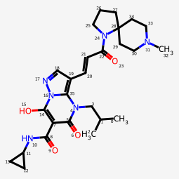 CC(C)Cn1c(=O)c(C(=O)NC2CC2)c(O)n2ncc(C=CC(=O)N3CCCC34CCN(C)CC4)c12